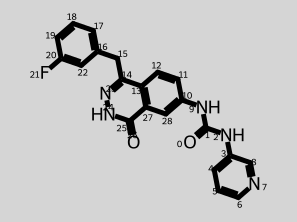 O=C(Nc1cccnc1)Nc1ccc2c(Cc3cccc(F)c3)n[nH]c(=O)c2c1